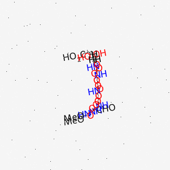 COC(CCCNC(=O)CNC(=O)CC[C@@H](C=O)NC(=O)COCCOCCNC(=O)COCCOCCNC(=O)CCC(=O)NO[C@H]1CC[C@@]2(C)[C@@H](C1)C[C@@H](O)[C@H]1C3CC[C@H]([C@H](C)CCC(=O)O)[C@@]3(C)[C@@H](O)C[C@@H]12)OC